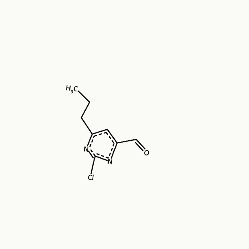 CCCc1cc(C=O)nc(Cl)n1